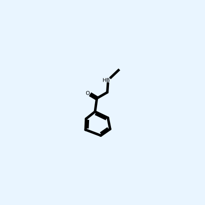 CBCC(=O)c1ccccc1